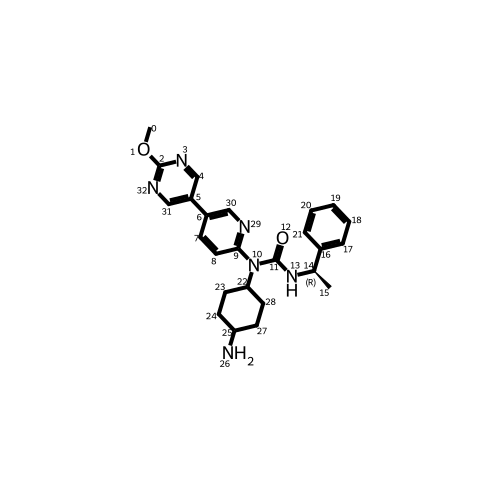 COc1ncc(-c2ccc(N(C(=O)N[C@H](C)c3ccccc3)C3CCC(N)CC3)nc2)cn1